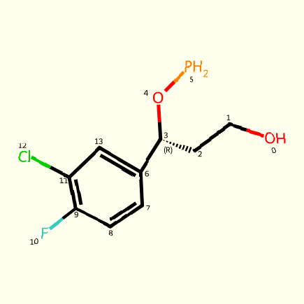 OCC[C@@H](OP)c1ccc(F)c(Cl)c1